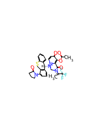 CC(=O)Oc1c2n(ccc1=O)N([C@H]1c3ccccc3SCc3c1cccc3N1CCCC1=O)CN([C@H](C)C(F)(F)F)C2=O